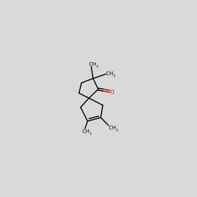 CC1=C(C)CC2(CCC(C)(C)C2=O)C1